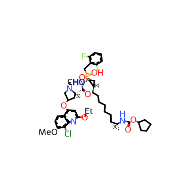 CCOc1cc(OC2C[C@@H](C(=O)N[C@]3(P(=O)(O)Cc4c(F)cccc4F)C[C@H]3CCCCCCC[C@@H](C)NC(=O)OC3CCCC3)N(C=O)C2)c2ccc(OC)c(Cl)c2n1